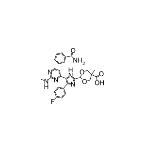 CNc1nccc(-c2[nH]c(C3OCC(C)(C(=O)O)CO3)nc2-c2ccc(F)cc2)n1.NC(=O)c1ccccc1